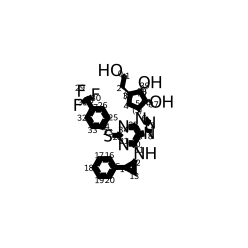 OCC[C@@H]1C[C@H](n2nnc3c(NC4CC4c4ccccc4)nc(Sc4ccc(C(F)(F)F)cc4)nc32)[C@@H](O)[C@H]1O